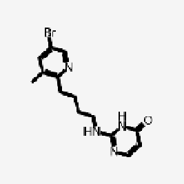 Cc1cc(Br)cnc1CCCCNc1nccc(=O)[nH]1